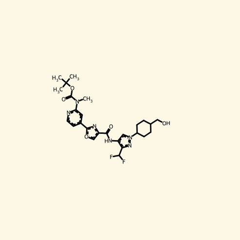 CN(C(=O)OC(C)(C)C)c1cc(-c2nc(C(=O)Nc3cn(C4CCC(CO)CC4)nc3C(F)F)co2)ccn1